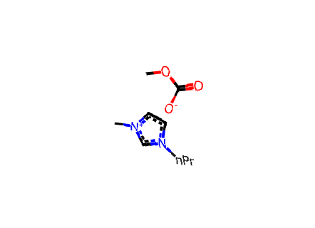 CCCn1cc[n+](C)c1.COC(=O)[O-]